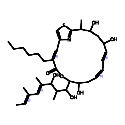 C/C=C(C)/C=C(\C)C(O)C(C)C(O)C1OC(=O)/C(CCCCCC)=C/c2csc(n2)C(C)C(O)CC(O)/C=C/C=C\CC1O